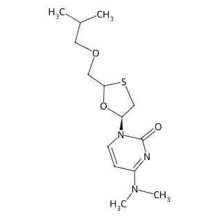 CC(C)COCC1O[C@H](n2ccc(N(C)C)nc2=O)CS1